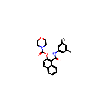 O=C(Nc1cc(C(F)(F)F)cc(C(F)(F)F)c1)c1c(OC(=O)N2CCOCC2)ccc2ccccc12